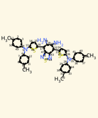 Cc1ccc(N(c2ccc(C)cc2)c2ccc(-c3c(N)c(N)c(-c4ccc(N(c5ccc(C)cc5)c5ccc(C)cc5)s4)c4nsnc34)s2)cc1